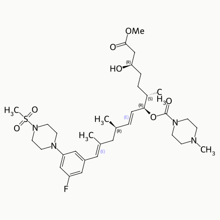 COC(=O)C[C@H](O)CC[C@H](C)[C@H](/C=C/[C@H](C)C/C(C)=C/c1cc(F)cc(N2CCN(S(C)(=O)=O)CC2)c1)OC(=O)N1CCN(C)CC1